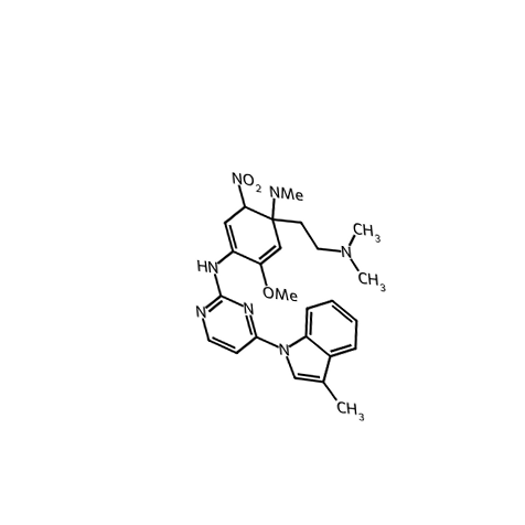 CNC1(CCN(C)C)C=C(OC)C(Nc2nccc(-n3cc(C)c4ccccc43)n2)=CC1[N+](=O)[O-]